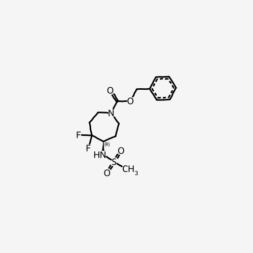 CS(=O)(=O)N[C@@H]1CCN(C(=O)OCc2ccccc2)CCC1(F)F